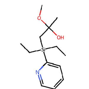 CC[Si](CC)(CC(C)(O)OC)c1ccccn1